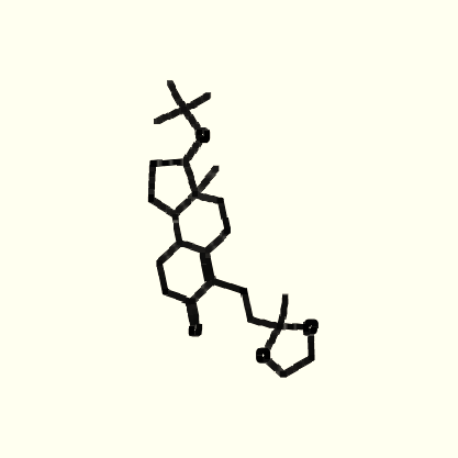 CC(C)(C)OC1CCC2C3CCC(=O)C(CCC4(C)OCCO4)=C3CCC12C